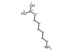 NCCCCCCON(O)O